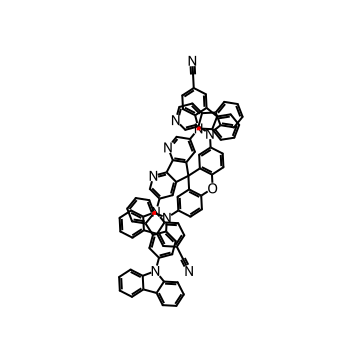 N#Cc1ccc2c(c1)c1ccccc1n2-c1cnc2c(c1)C1(c3cc(-n4c5ccccc5c5cc(-n6c7ccccc7c7ccccc76)ccc54)ccc3Oc3ccc(-n4c5ccccc5c5ccncc54)cc31)c1cc(-n3c4ccccc4c4cc(C#N)ccc43)cnc1-2